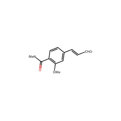 CNC(=O)c1ccc(C=C[C]=O)cc1OC